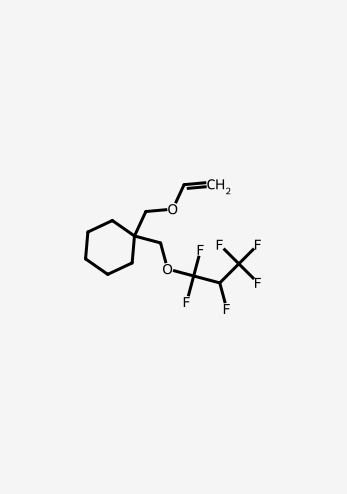 C=COCC1(COC(F)(F)C(F)C(F)(F)F)CCCCC1